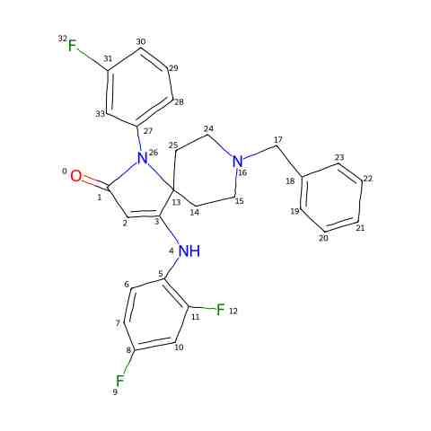 O=C1C=C(Nc2ccc(F)cc2F)C2(CCN(Cc3ccccc3)CC2)N1c1cccc(F)c1